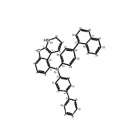 C1=Cc2c(oc3cccc(N(c4ccc(-c5ccccc5)cc4)c4ccc(-c5cccc6ccccc56)cc4)c23)NC1